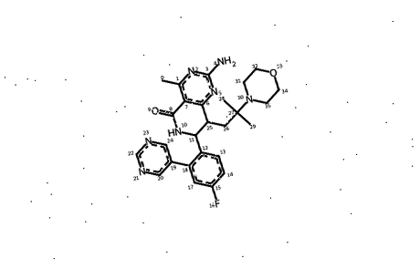 Cc1nc(N)nc2c1C(=O)NC(c1ccc(F)cc1-c1cncnc1)C2CC(C)(C)N1CCOCC1